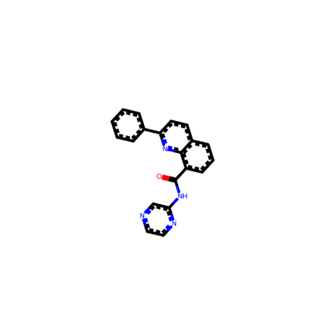 O=C(Nc1cnccn1)c1cccc2ccc(-c3ccccc3)nc12